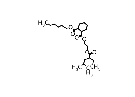 CCCCCCOC(=O)C1CCCCC1C(=O)OCCOC(=O)C(CC)CC(C)C